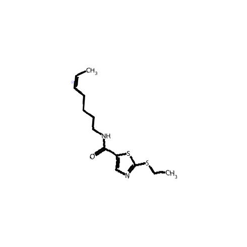 C/C=C\CCCCNC(=O)c1cnc(SCC)s1